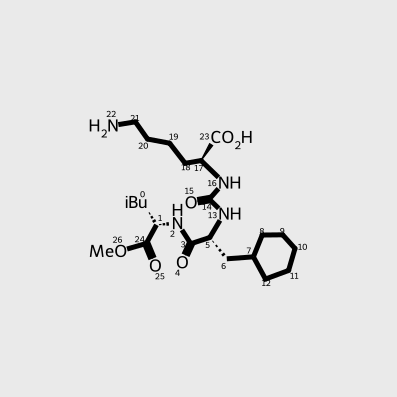 CC[C@@H](C)[C@H](NC(=O)[C@@H](CC1CCCCC1)NC(=O)N[C@@H](CCCCN)C(=O)O)C(=O)OC